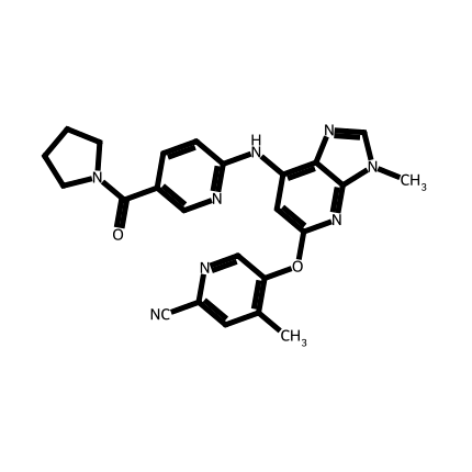 Cc1cc(C#N)ncc1Oc1cc(Nc2ccc(C(=O)N3CCCC3)cn2)c2ncn(C)c2n1